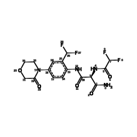 NC(=O)[C@H](NC(=O)C(F)F)C(=O)Nc1ccc(N2CCOCC2=O)cc1C(F)F